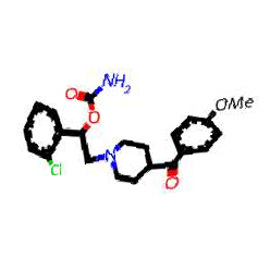 COc1ccc(C(=O)C2CCN(CC(OC(N)=O)c3ccccc3Cl)CC2)cc1